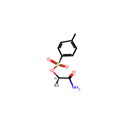 CC[C@@H](OS(=O)(=O)c1ccc(C)cc1)C(N)=O